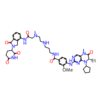 CC[C@@H]1C(=O)N(C)c2cnc(Nc3ccc(C(=O)NCCCNCCN(C)CC(=O)Nc4cccc5c4CN(C4CCC(=O)NC4=O)C5=O)cc3OC)nc2N1C1CCCC1